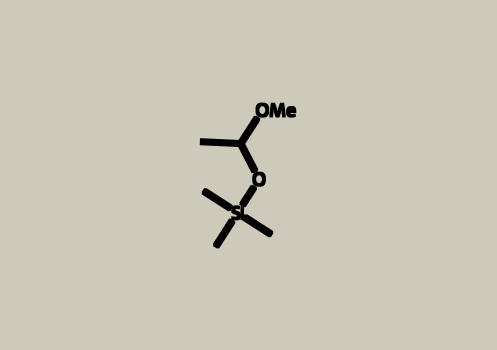 COC(C)O[Si](C)(C)C